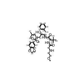 COCCNCC(=O)N[C@H](C(=O)N[C@@H](Cc1ccccc1)[C@H](O)CN(CC(C)C)S(=O)(=O)c1ccc2c(c1)OCO2)C(C)(C)C